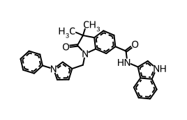 CC1(C)C(=O)N(Cc2ccn(-c3ccccc3)c2)c2cc(C(=O)Nc3c[nH]c4ccccc34)ccc21